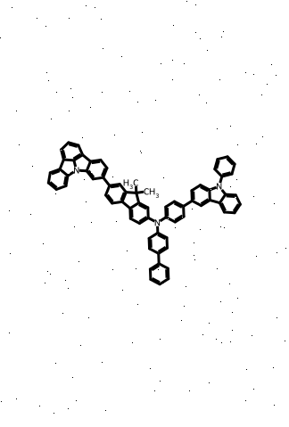 CC1(C)c2cc(-c3ccc4c5cccc6c7ccccc7n(c4c3)c65)ccc2-c2ccc(N(c3ccc(-c4ccccc4)cc3)c3ccc(-c4ccc5c(c4)c4ccccc4n5-c4ccccc4)cc3)cc21